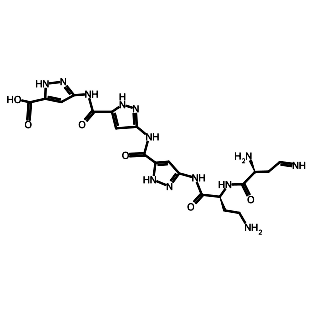 N=CC[C@H](N)C(=O)N[C@@H](CCN)C(=O)Nc1cc(C(=O)Nc2cc(C(=O)Nc3cc(C(=O)O)[nH]n3)[nH]n2)[nH]n1